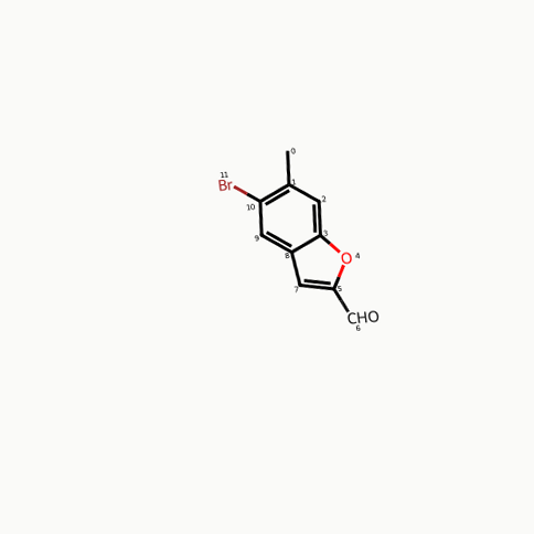 Cc1cc2oc(C=O)cc2cc1Br